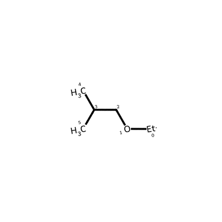 C[CH]OCC(C)C